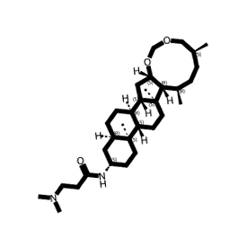 C[C@H]1CC[C@@H](C)[C@H]2[C@H](C[C@H]3[C@@H]4CC[C@@H]5C[C@@H](NC(=O)CCN(C)C)CC[C@]5(C)[C@H]4CC[C@]23C)OCOC1